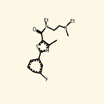 CCN(C)CCN(CC)C(=O)c1sc(-c2cccc(F)c2)nc1C